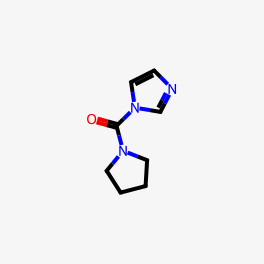 O=C(N1CCCC1)n1ccnc1